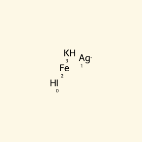 I.[Ag].[Fe].[KH]